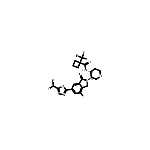 O=C1c2cc(-c3nnc(C(F)F)o3)cc(F)c2CN1[C@@H]1COCC[C@H]1NC(=O)C1(C(F)(F)F)CCC1